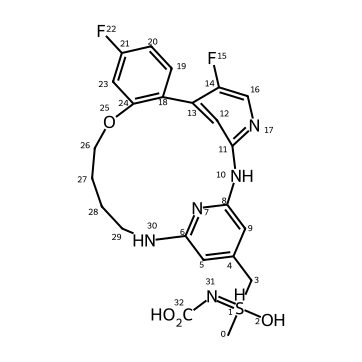 C[SH](O)(Cc1cc2nc(c1)Nc1cc(c(F)cn1)-c1ccc(F)cc1OCCCCN2)=NC(=O)O